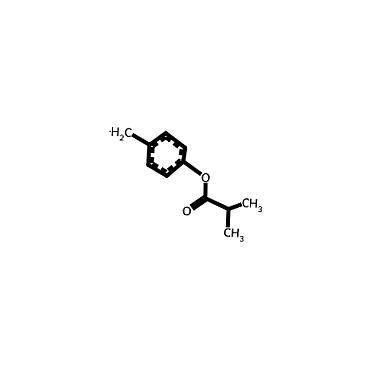 [CH2]c1ccc(OC(=O)C(C)C)cc1